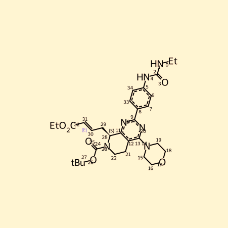 CCNC(=O)Nc1ccc(-c2nc3c(c(N4CCOCC4)n2)CCN(C(=O)OC(C)(C)C)[C@H]3C/C=C/C(=O)OCC)cc1